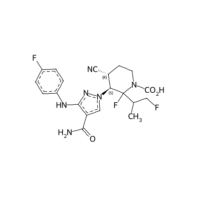 CC(CF)C1(F)[C@@H](n2cc(C(N)=O)c(Nc3ccc(F)cc3)n2)[C@H](C#N)CCN1C(=O)O